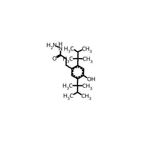 CC(C)C(C)(C)c1cc(CCC(=O)NN)c(C(C)(C)C(C)C)cc1O